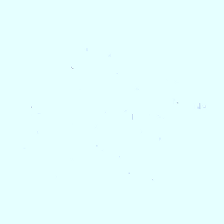 CCCCN(CCCC)CCCC.FC(F)(F)c1ccccc1OB(Oc1ccccc1C(F)(F)F)Oc1ccccc1C(F)(F)F